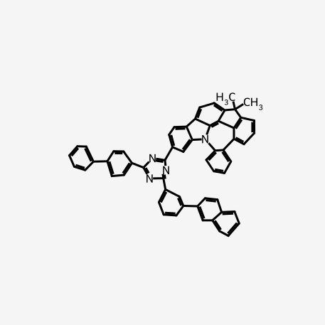 CC1(C)c2cccc3c2-c2c1ccc1c4ccc(-c5nc(-c6ccc(-c7ccccc7)cc6)nc(-c6cccc(-c7ccc8ccccc8c7)c6)n5)cc4n(c21)-c1ccccc1-3